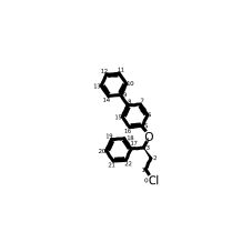 ClCC[C@H](Oc1ccc(-c2ccccc2)cc1)c1ccccc1